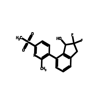 Cc1nc(S(C)(=O)=O)ccc1-c1cccc2c1C(O)C(F)(F)C2